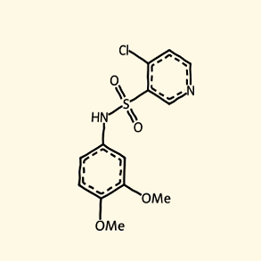 COc1ccc(NS(=O)(=O)c2cnccc2Cl)cc1OC